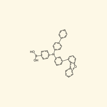 OB(O)c1ccc(N(c2ccc(-c3ccccc3)cc2)c2cccc(-c3cccc4oc5ccccc5c34)c2)cc1